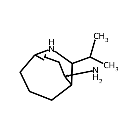 CC(C)C1NC2=CCC(N)=C1CCC2